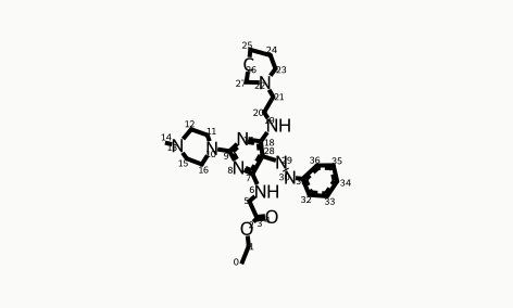 CCOC(=O)CNc1nc(N2CCN(C)CC2)nc(NCCN2CCCCC2)c1/N=N/c1ccccc1